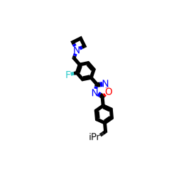 CC(C)Cc1ccc(-c2nc(-c3ccc(CN4CCC4)c(F)c3)no2)cc1